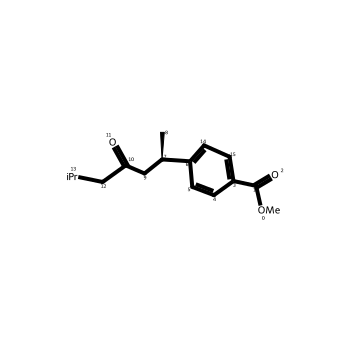 COC(=O)c1ccc([C@H](C)CC(=O)CC(C)C)cc1